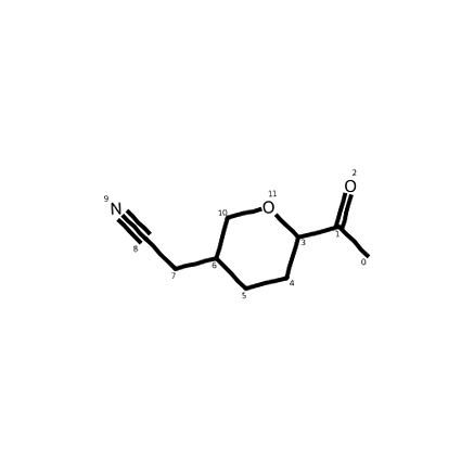 CC(=O)C1CCC(CC#N)CO1